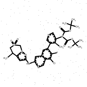 Cc1c(-c2cc3cc(Nc4cc5n(n4)CS(=O)(=O)CC5C)ncc3c(Cl)c2F)cncc1N(C(=O)OC(C)(C)C)C(=O)OC(C)(C)C